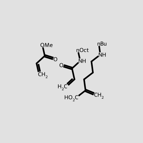 C=C(CCCNCCCC)C(=O)O.C=CC(=O)NCCCCCCCC.C=CC(=O)OC